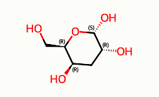 OC[C@H]1O[C@H](O)[C@H](O)C[C@H]1O